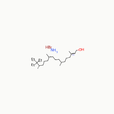 Br.CCC(CC)(CC)C(C)CCCC(C)CCCC(C)CCC/C(C)=C/CO.N